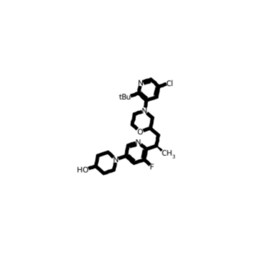 C[C@H](CC1CN(c2cc(Cl)cnc2C(C)(C)C)CCO1)c1ncc(N2CCC(O)CC2)cc1F